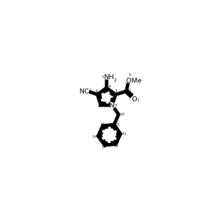 COC(=O)c1c(N)c(C#N)cn1Cc1ccccc1